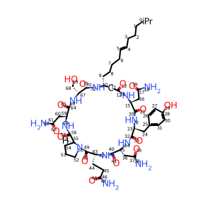 CC(C)CCC/C=C/CCCC[C@@H]1CC(=O)N[C@@H](CC(N)=O)C(=O)N[C@@H](Cc2ccc(O)cc2)C(=O)N[C@H](CC(N)=O)C(=O)N[C@H](CCC(N)=O)C(=O)N2CCC[C@H]2C(=O)N[C@@H](CC(N)=O)C(=O)N[C@H](CO)C(=O)N1